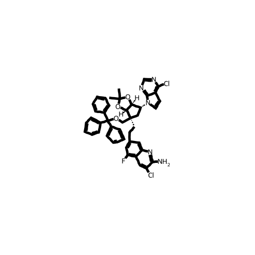 CC1(C)O[C@H]2[C@H](n3ccc4c(Cl)ncnc43)C[C@@](CCc3cc(F)c4cc(Cl)c(N)nc4c3)(COC(c3ccccc3)(c3ccccc3)c3ccccc3)[C@H]2O1